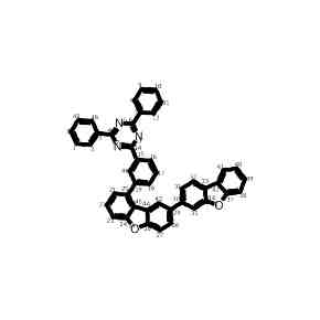 c1ccc(-c2nc(-c3ccccc3)nc(-c3cccc(-c4cccc5oc6ccc(-c7ccc8c(c7)oc7ccccc78)cc6c45)c3)n2)cc1